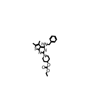 CCOC(=O)OC1CCN(c2nc(NCc3ccccc3)c3c(C)c(C)sc3n2)CC1